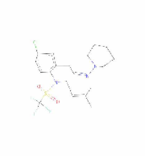 CC(C)=CCN(c1ccc(Cl)cc1CC=NN1CCCCC1)S(=O)(=O)C(F)(F)F